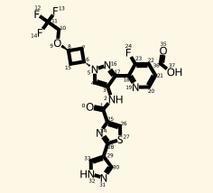 O=C(Nc1cn([C@H]2C[C@H](OCC(F)(F)F)C2)nc1-c1ncccc1F)c1csc(-c2cn[nH]c2)n1.O=CO